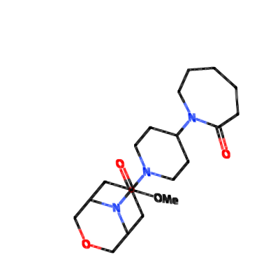 COC(=O)N1C2COCC1CC(N1CCC(N3CCCCCC3=O)CC1)C2